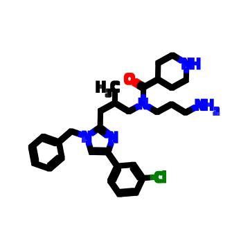 CC(Cc1nc(-c2cccc(Cl)c2)cn1Cc1ccccc1)CN(CCCN)C(=O)C1CCNCC1